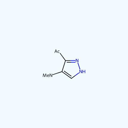 CNc1c[nH]nc1C(C)=O